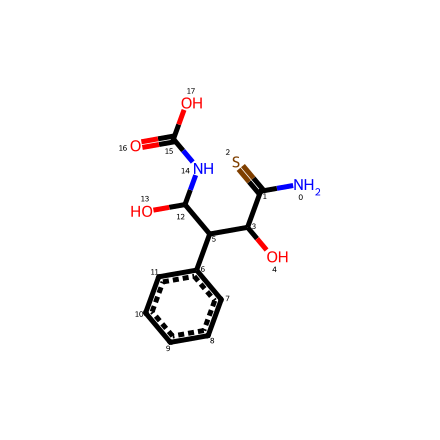 NC(=S)C(O)C(c1ccccc1)C(O)NC(=O)O